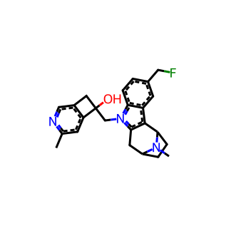 Cc1cc2c(cn1)CC2(O)Cn1c2c(c3cc(CF)ccc31)C1CCC(C2)N1C